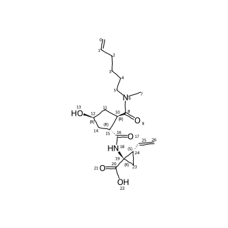 C=CCCCCN(C)C(=O)[C@@H]1C[C@H](O)C[C@H]1C(=O)N[C@]1(C(=O)O)C[C@H]1C=C